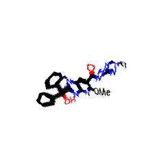 CCn1cnc(NC(=O)c2cc3c(nc2OC)nc(C(O)(c2ccccc2)c2ccccc2)n3C)n1